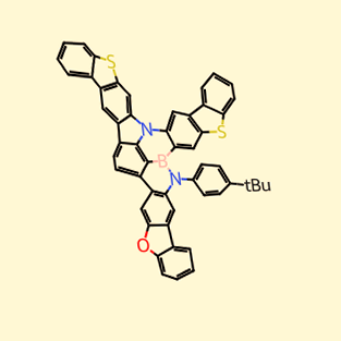 CC(C)(C)c1ccc(N2B3c4cc5sc6ccccc6c5cc4-n4c5cc6sc7ccccc7c6cc5c5ccc(c3c54)-c3cc4oc5ccccc5c4cc32)cc1